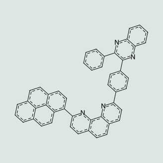 c1ccc(-c2nc3ccccc3nc2-c2ccc(-c3ccc4ccc5ccc(-c6ccc7ccc8cccc9ccc6c7c89)nc5c4n3)cc2)cc1